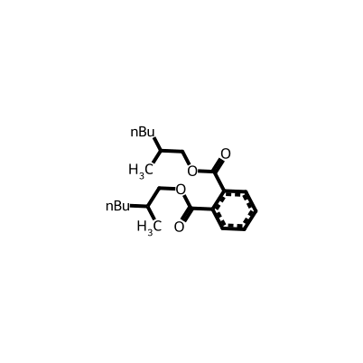 CCCCC(C)COC(=O)c1ccccc1C(=O)OCC(C)CCCC